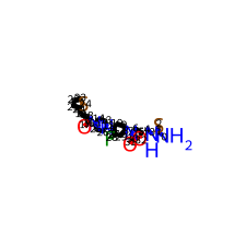 NC(=S)NC[C@H]1CN(c2ccc(N3CCN(C(=O)C=Cc4cccs4)CC3)c(F)c2)C(=O)O1